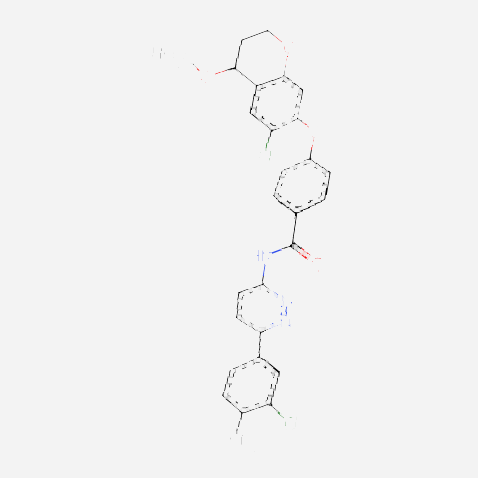 O=C(O)OC1CCOc2cc(Oc3ccc(C(=O)Nc4ccc(-c5ccc(C(F)(F)F)c(Cl)c5)nn4)cc3)c(Cl)cc21